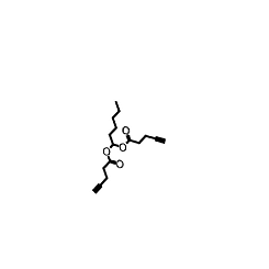 C#CCCC(=O)OC(CCCCC)OC(=O)CCC#C